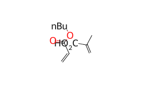 C=C(C)C(=O)O.C=CC(=O)OCCCC